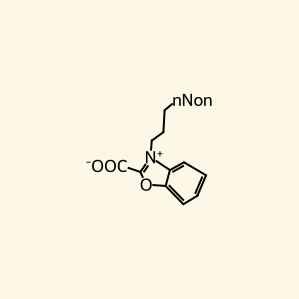 CCCCCCCCCCCC[n+]1c(C(=O)[O-])oc2ccccc21